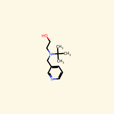 CC(C)(C)N(CCO)Cc1cccnc1